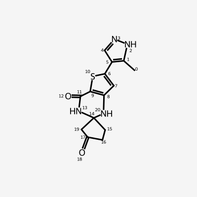 Cc1[nH]ncc1-c1cc2c(s1)C(=O)NC1(CCC(=O)C1)N2